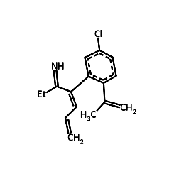 C=C/C=C(\C(=N)CC)c1cc(Cl)ccc1C(=C)C